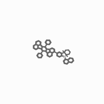 CC12CCCCC1(C)N(c1cccc3ccccc13)c1ccc(-c3ccc4c5c(-c6ccccc6)c6c7cccc8cccc(c6c(-c6ccccc6)c5c5cccc3c54)c87)cc12